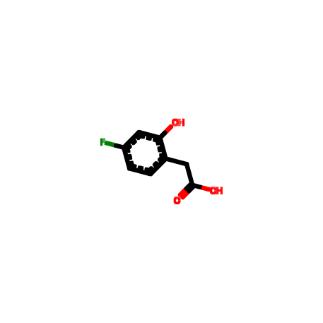 O=C(O)Cc1ccc(F)cc1O